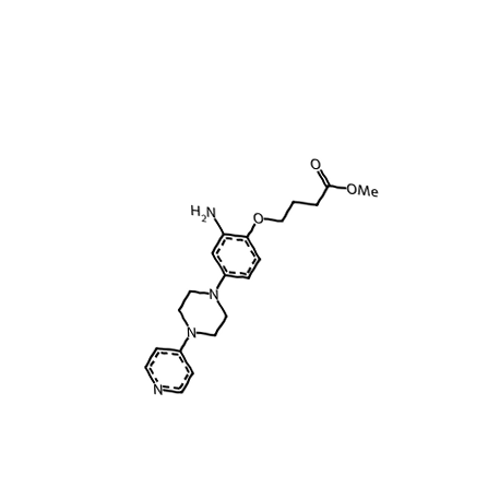 COC(=O)CCCOc1ccc(N2CCN(c3ccncc3)CC2)cc1N